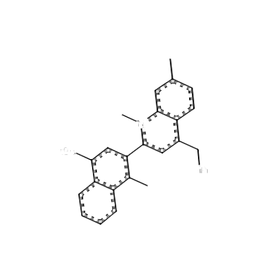 Cc1ccc2c(CC(C)C)cc(-c3cc(C(C)(C)C)c4ccccc4c3C)[n+](C)c2c1